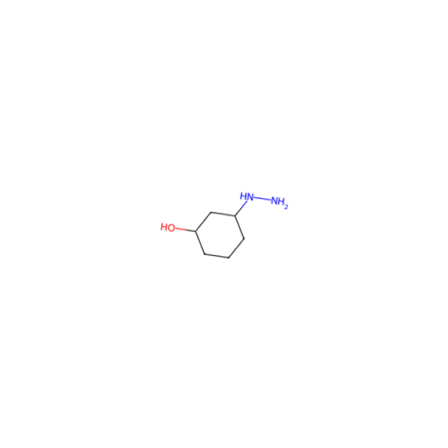 NNC1CCCC(O)C1